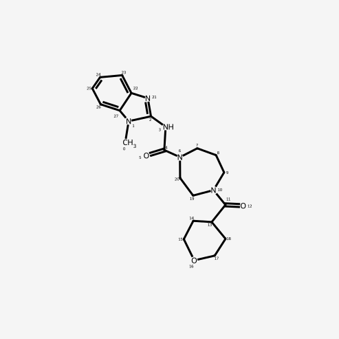 Cn1c(NC(=O)N2CCCN(C(=O)C3CCOCC3)CC2)nc2ccccc21